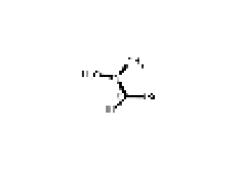 CC(C)[C@@H](N(C)C)C(C)(C)C